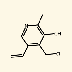 C=Cc1cnc(C)c(O)c1CCl